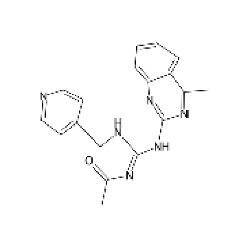 CC(=O)/N=C(\NCc1ccncc1)Nc1nc(C)c2ccccc2n1